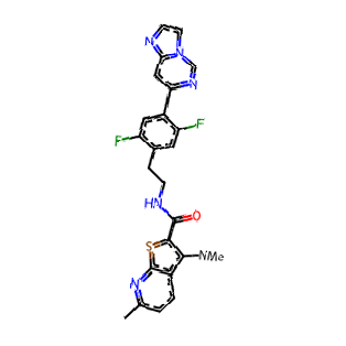 CNc1c(C(=O)NCCc2cc(F)c(-c3cc4nccn4cn3)cc2F)sc2nc(C)ccc12